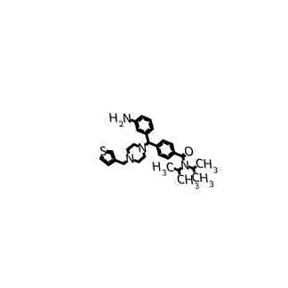 CC(C)N(C(=O)c1ccc(C(c2cccc(N)c2)N2CCN(Cc3ccsc3)CC2)cc1)C(C)C